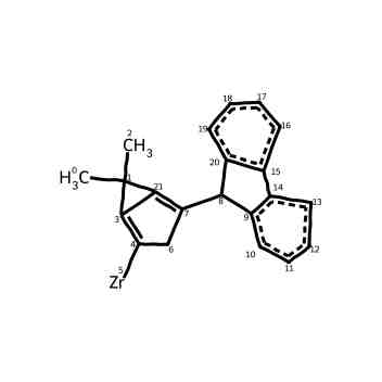 CC1(C)C2=[C]([Zr])CC(C3c4ccccc4-c4ccccc43)=C21